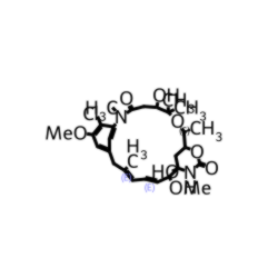 COc1cc2cc(c1Cl)N(C)C(=O)CC(O)C(C)(C)O[C@@H](C)C1CC(O)(NC(=O)O1)C(OC)/C=C/C=C(\C)C2